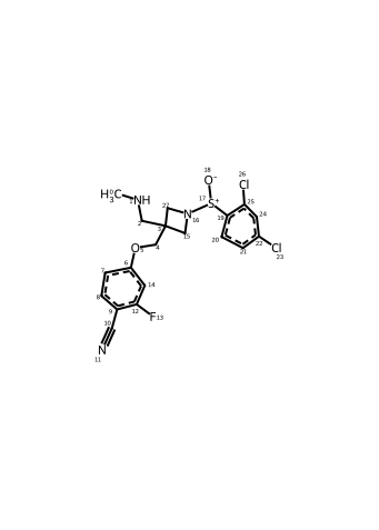 CNCC1(COc2ccc(C#N)c(F)c2)CN([S+]([O-])c2ccc(Cl)cc2Cl)C1